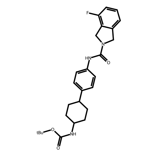 CC(C)(C)OC(=O)NC1CCC(c2ccc(NC(=O)N3Cc4cccc(F)c4C3)cc2)CC1